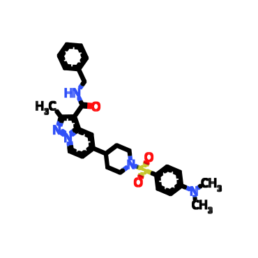 Cc1nn2ccc(C3CCN(S(=O)(=O)c4ccc(N(C)C)cc4)CC3)cc2c1C(=O)NCc1ccccc1